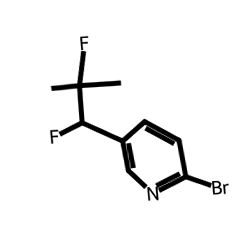 CC(C)(F)C(F)c1ccc(Br)nc1